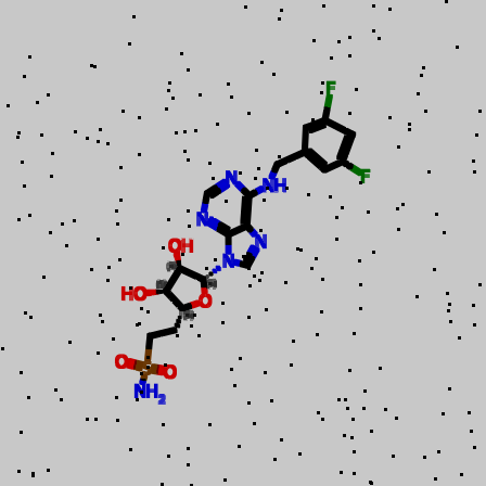 NS(=O)(=O)CC[C@H]1O[C@@H](n2cnc3c(NCc4cc(F)cc(F)c4)ncnc32)[C@H](O)[C@@H]1O